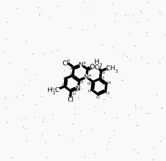 Cc1cc2c(Cl)nc(=O)n(-c3ccccc3C(C)C)c2nc1Cl